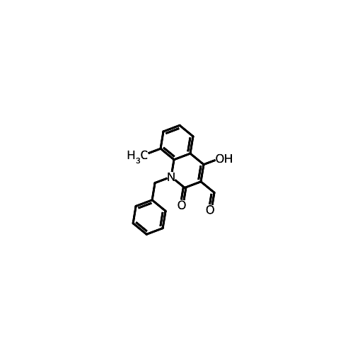 Cc1cccc2c(O)c(C=O)c(=O)n(Cc3ccccc3)c12